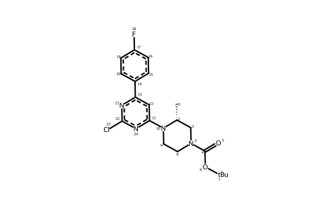 C[C@@H]1CN(C(=O)OC(C)(C)C)CCN1c1cc(-c2ccc(F)cc2)nc(Cl)n1